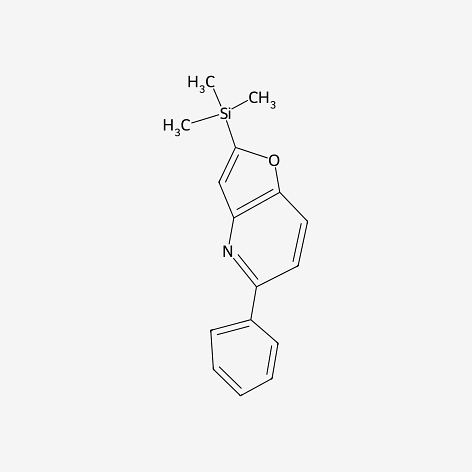 C[Si](C)(C)c1cc2nc(-c3ccccc3)ccc2o1